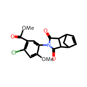 COC(=O)c1cc(N2C(=O)C3C4C=CC(C4)C3C2=O)c(OC)cc1Cl